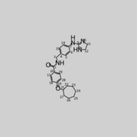 O=C(NCc1ccc(NC2=NCCN2)cc1)c1ccc(OC2CCCCCC2)cc1